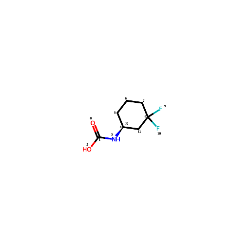 O=C(O)N[C@H]1CCCC(F)(F)C1